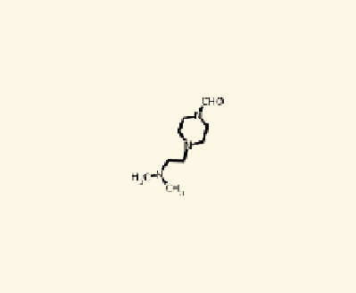 CN(C)CCN1CCN(C=O)CC1